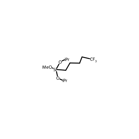 CO[Si](CCCCC(F)(F)F)(OC(C)C)OC(C)C